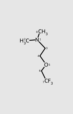 CN(C)CCOCC(F)(F)F